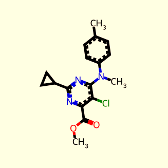 COC(=O)c1nc(C2CC2)nc(N(C)c2ccc(C)cc2)c1Cl